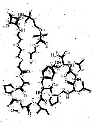 CCC(C)[C@H](NC(=O)[C@H](CO)NC(=O)[C@@H]1CCCN1C(=O)C(C)NC(=O)COCCOCCNc1c(NC(C)(C)CCOC(C)(C)C(=O)NCCO)c(=O)c1=O)C(=O)N[C@@H](Cc1ccc(O)cc1)C(=O)N1CCC[C@@H]1CN[C@@H](CC(C)C)C(=O)N[C@@H](CC(C)C)C(=O)N[C@@H](CSS)C(N)=O